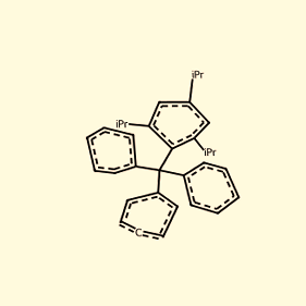 CC(C)c1cc(C(C)C)c(C(c2ccccc2)(c2ccccc2)c2ccccc2)c(C(C)C)c1